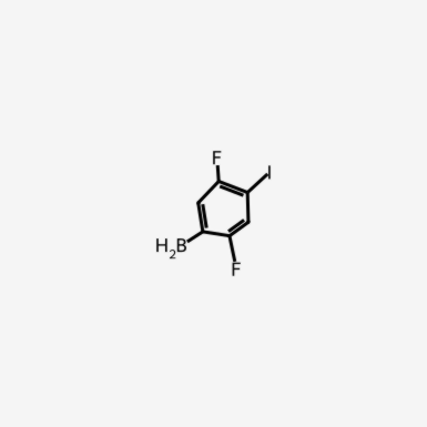 Bc1cc(F)c(I)cc1F